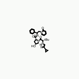 CC(C)(C)[C@@H](C(=O)N1C[C@H](O)C[C@H]1C(=O)NC(Cn1ccccc1=O)c1ccccc1)n1cc(C2CC2)nn1